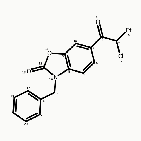 CCC(Cl)C(=O)c1ccc2c(c1)oc(=O)n2Cc1ccccc1